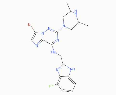 CC1CN(c2nc(NCc3nc4c(F)cccc4[nH]3)c3ncc(Br)n3n2)CC(C)N1